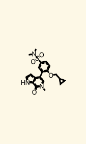 CN(C)S(=O)(=O)c1ccc(OCC2CC2)c(-c2cn(C)c(=O)c3[nH]ccc23)c1